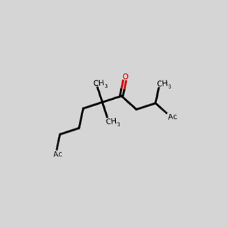 [CH2]C(=O)C(C)CC(=O)C(C)(C)CCCC(C)=O